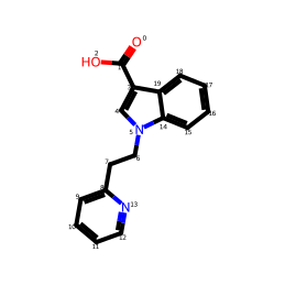 O=C(O)c1cn(CCc2ccccn2)c2ccccc12